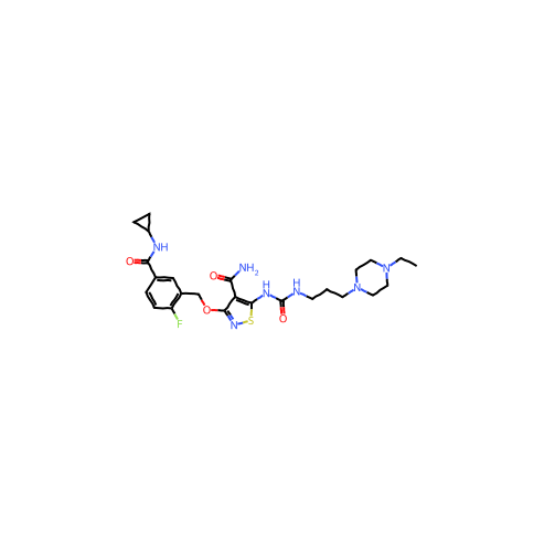 CCN1CCN(CCCNC(=O)Nc2snc(OCc3cc(C(=O)NC4CC4)ccc3F)c2C(N)=O)CC1